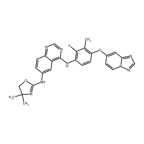 Cc1c(Oc2ccn3ncnc3c2)ccc(Nc2ncnc3ccc(NC4=NC(C)(C)CO4)cc23)c1F